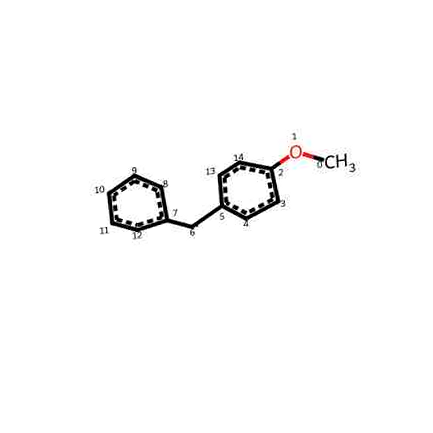 COc1ccc([CH]c2ccccc2)cc1